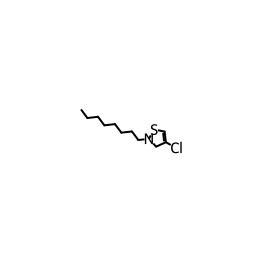 CCCCCCCCN1CC(Cl)=CS1